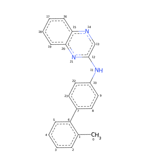 Cc1ccccc1-c1ccc(Nc2cnc3ccccc3n2)cc1